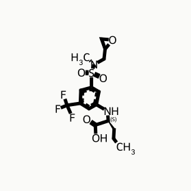 CCC[C@H](Nc1cc(C(F)(F)F)cc(S(=O)(=O)N(C)CC2CO2)c1)C(=O)O